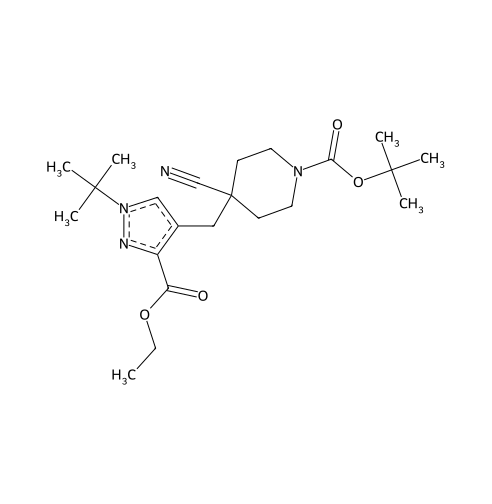 CCOC(=O)c1nn(C(C)(C)C)cc1CC1(C#N)CCN(C(=O)OC(C)(C)C)CC1